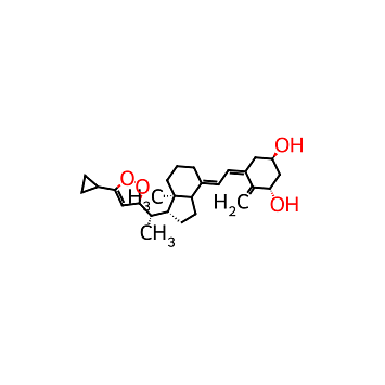 C=C1/C(=C\C=C2/CCC[C@@]3(C)C2CC[C@@H]3[C@H](C)[C@H]2C=C(C3CC3)OO2)C[C@@H](O)C[C@@H]1O